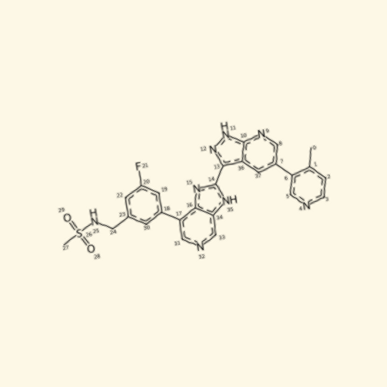 Cc1ccncc1-c1cnc2[nH]nc(-c3nc4c(-c5cc(F)cc(CNS(C)(=O)=O)c5)cncc4[nH]3)c2c1